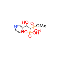 COP(=O)(O)C(C(O)c1cccnc1)P(=O)(O)O